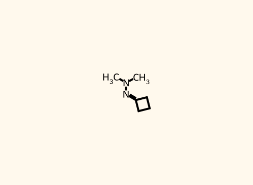 CN(C)N=C1CCC1